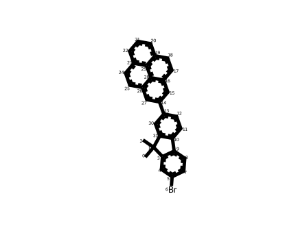 CC1(C)c2cc(Br)ccc2-c2ccc(-c3cc4ccc5cccc6ccc(c3)c4c56)cc21